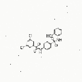 O=S(=O)(Nc1ccc(S(=O)(=O)Nc2ccccc2O)cc1)c1cc(Cl)cc(Cl)c1